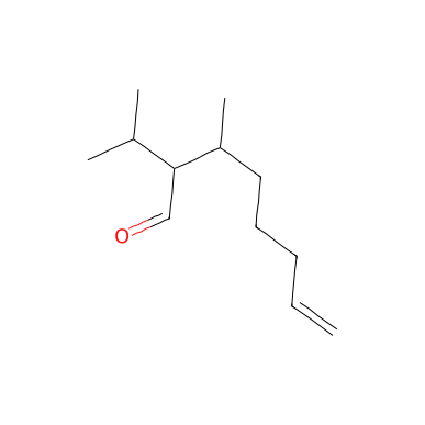 C=CCCCC(C)C(C=O)C(C)C